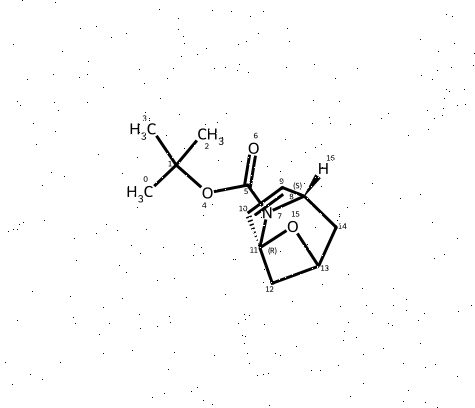 CC(C)(C)OC(=O)N1[C@@H]2C=C[C@]13CC(C2)O3